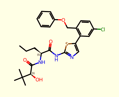 CCC[C@H](NC(=O)[C@@H](O)C(C)(C)C)C(=O)Nc1ncc(-c2cc(Cl)ccc2COc2ccccc2)s1